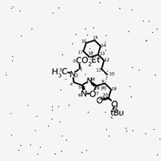 CCOC(=O)CN(C)Cc1noc([C@H](CCCC2CCCCC2)CC(=O)OC(C)(C)C)n1